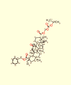 CC(C)OC(=O)OCOC(=O)[C@H]1CC[C@]2(C)[C@H]3C(=O)C=C4[C@@H]5C[C@@](C)(C(=O)OCc6ccccc6)CC[C@]5(C)CC[C@@]4(C)[C@]3(C)CC[C@H]2C1(C)C